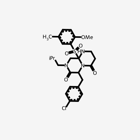 COc1ccc(C)cc1S(=O)(=O)C12CN(CC(C)C)C(=O)C(Cc3ccc(Cl)cc3)N1C(=O)CCN2